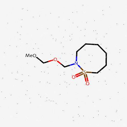 COCOCN1CCCCCCS1(=O)=O